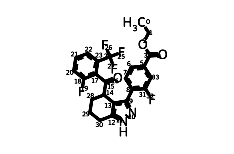 CCOC(=O)c1ccc(-c2n[nH]c3c2C(C(=O)c2c(F)cccc2C(F)(F)F)CCC3)c(F)c1